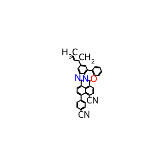 C=C(/C=C\C)c1cc(-c2ccccc2)c2c(c1)nc1c3ccc(-c4ccc(C#N)cc4)c4c(C#N)ccc(c(=O)n12)c43